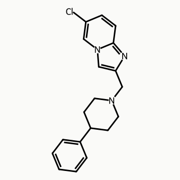 Clc1ccc2nc(CN3CCC(c4ccccc4)CC3)cn2c1